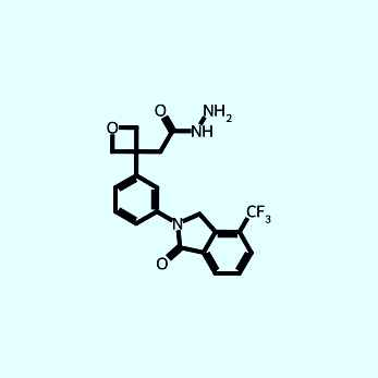 NNC(=O)CC1(c2cccc(N3Cc4c(cccc4C(F)(F)F)C3=O)c2)COC1